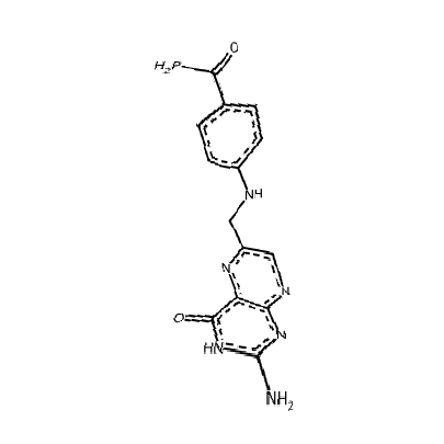 Nc1nc2ncc(CNc3ccc(C(=O)P)cc3)nc2c(=O)[nH]1